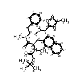 Cc1noc(COC[C@@H](Cc2ccccc2)N(C)C(=O)[C@@H](Cc2ccc3ccccc3c2)N(C)C(=O)OC(C)(C)C)n1